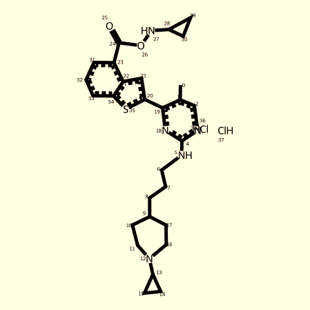 Cc1cnc(NCCCC2CCN(C3CC3)CC2)nc1-c1cc2c(C(=O)ONC3CC3)cccc2s1.Cl.Cl